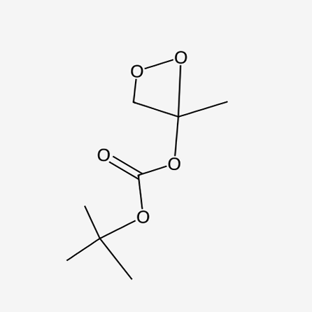 CC(C)(C)OC(=O)OC1(C)COO1